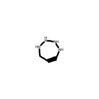 C1#CNNNNC1